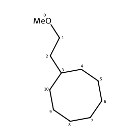 COCCC1CCCCCCC1